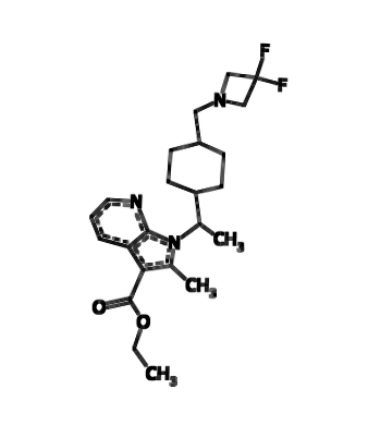 CCOC(=O)c1c(C)n(C(C)C2CCC(CN3CC(F)(F)C3)CC2)c2ncccc12